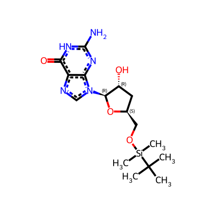 CC(C)(C)[Si](C)(C)OC[C@@H]1C[C@@H](O)[C@H](n2cnc3c(=O)[nH]c(N)nc32)O1